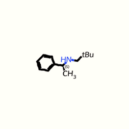 C[C@H](NCC(C)(C)C)c1ccccc1